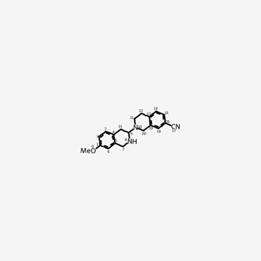 COc1ccc2c(c1)CNC(N1CCc3ccc(C#N)cc3C1)C2